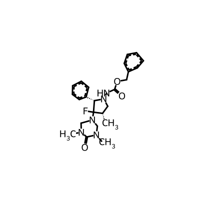 C[C@H]1CN(NC(=O)OCc2ccccc2)[C@@H](c2ccccc2)C1(F)N1CN(C)C(=O)N(C)C1